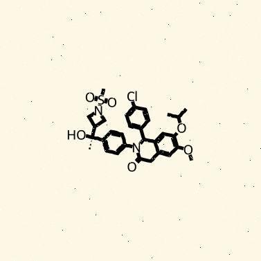 COc1cc2c(cc1OC(C)C)C(c1ccc(Cl)cc1)N(c1ccc([C@@](C)(O)C3CN(S(C)(=O)=O)C3)cc1)C(=O)C2